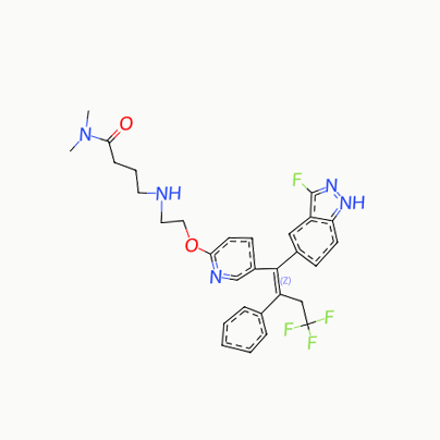 CN(C)C(=O)CCCNCCOc1ccc(/C(=C(/CC(F)(F)F)c2ccccc2)c2ccc3[nH]nc(F)c3c2)cn1